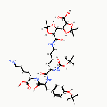 COC(=O)[C@H](CCCCN)NC(=O)C(Cc1ccc(OC(C)(C)C)cc1)NC(=O)[C@H](CCCCNC(=O)C1OC(C)(C)OC1C1OC(C)(C)OC1C(=O)O)NC(=O)OC(C)(C)C